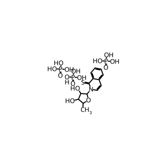 CC1OC(n2ccc3ccccc3c2=S)C(O)C1O.O=P(O)(O)O.O=P(O)(O)O.O=P(O)(O)O